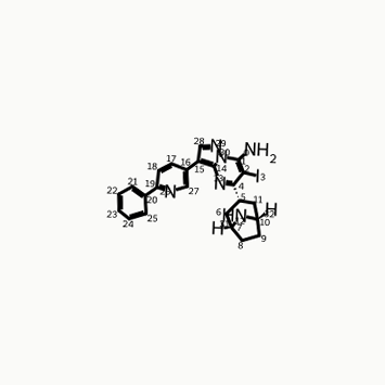 Nc1c(I)c([C@H]2C[C@H]3CC[C@@H](C2)N3)nc2c(-c3ccc(-c4ccccc4)nc3)cnn12